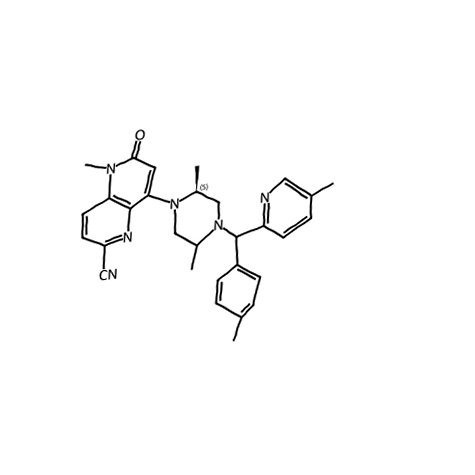 Cc1ccc(C(c2ccc(C)cn2)N2C[C@H](C)N(c3cc(=O)n(C)c4ccc(C#N)nc34)CC2C)cc1